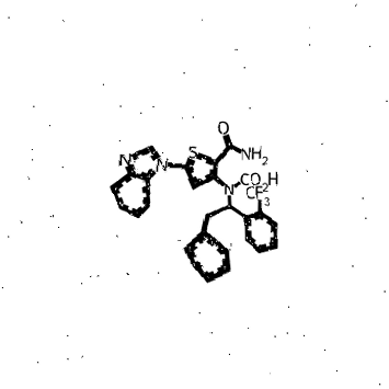 NC(=O)c1sc(-n2cnc3ccccc32)cc1N(C(=O)O)C(Cc1ccccc1)c1ccccc1C(F)(F)F